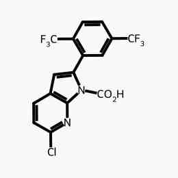 O=C(O)n1c(-c2cc(C(F)(F)F)ccc2C(F)(F)F)cc2ccc(Cl)nc21